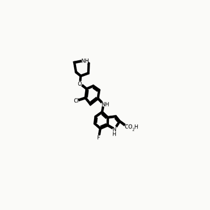 O=C(O)c1cc2c(Nc3ccc(OC4CCNCC4)c(Cl)c3)ccc(F)c2[nH]1